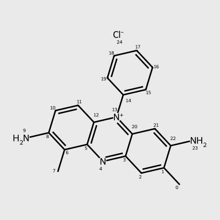 Cc1cc2nc3c(C)c(N)ccc3[n+](-c3ccccc3)c2cc1N.[Cl-]